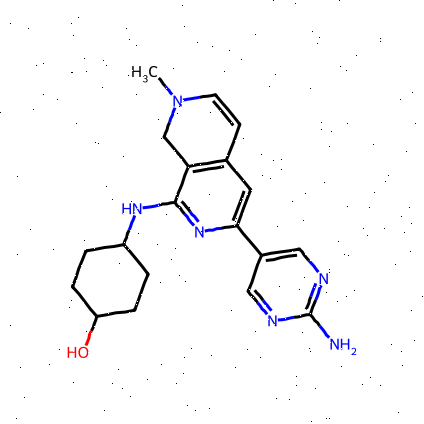 CN1C=Cc2cc(-c3cnc(N)nc3)nc(NC3CCC(O)CC3)c2C1